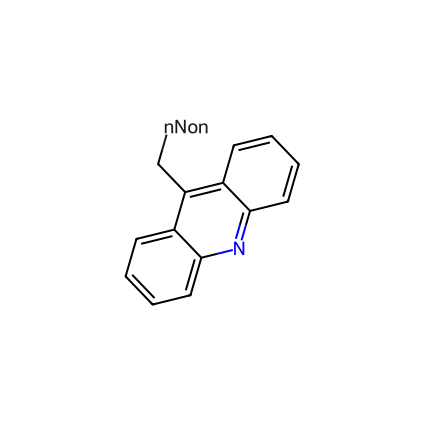 CCCCCCCCCCc1c2ccccc2nc2ccccc12